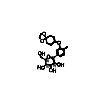 Cc1ccc([C@@H]2O[C@H](CO)[C@@H](O)[C@H](O)[C@H]2O)cc1OC1CCC2(CC1)OCCO2